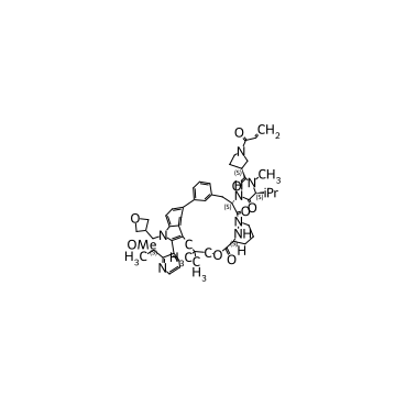 C=CC(=O)N1CC[C@H](C(=O)N(C)[C@H](C(=O)N[C@H]2Cc3cccc(c3)-c3ccc4c(c3)c(c(-c3cccnc3[C@H](C)OC)n4CC3COC3)CC(C)(C)COC(=O)[C@@H]3CCCN(N3)C2=O)C(C)C)C1